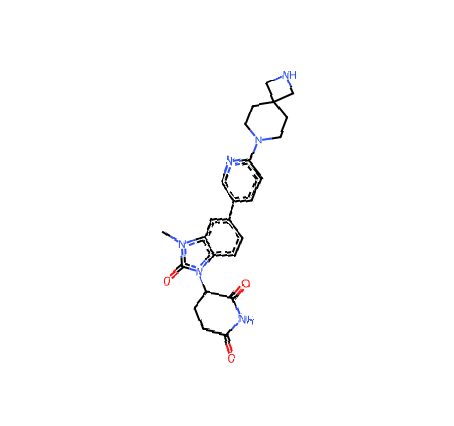 Cn1c(=O)n(C2CCC(=O)NC2=O)c2ccc(-c3ccc(N4CCC5(CC4)CNC5)nc3)cc21